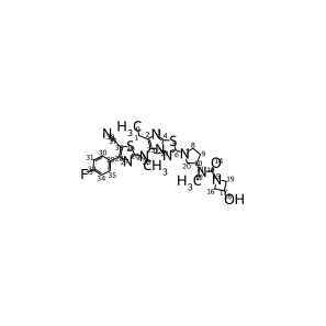 CCc1nc2sc(N3CC[C@@H](N(C)C(=O)N4CC(O)C4)C3)nn2c1N(C)c1nc(-c2ccc(F)cc2)c(C#N)s1